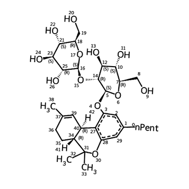 CCCCCc1cc(O[C@@H]2O[C@H](CO)[C@@H](O)[C@H](O)[C@H]2O[C@@H]2O[C@H](CO)[C@@H](O)[C@H](O)[C@H]2O)c2c(c1)OC(C)(C)[C@@H]1CCC(C)=C[C@@H]21